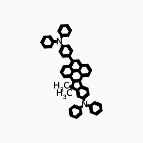 CC1(C)c2cc(N(c3ccccc3)c3ccccc3)ccc2-c2c1c1cccc3c(-c4ccc(N(c5ccccc5)c5ccccc5)cc4)cc4cccc2c4c31